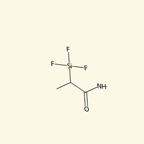 CC(C([NH])=O)[Si](F)(F)F